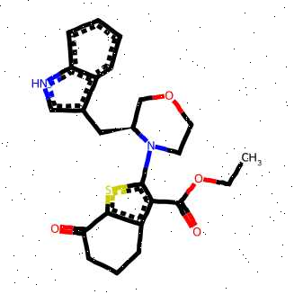 CCOC(=O)c1c(N2CCOC[C@@H]2Cc2c[nH]c3ccccc23)sc2c1CCCC2=O